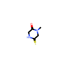 CN1CC(=S)NCC1=O